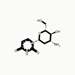 N[C@@H]1C[C@H](n2ccc(=O)[nH]c2=O)O[C@H](CO)[C@H]1O